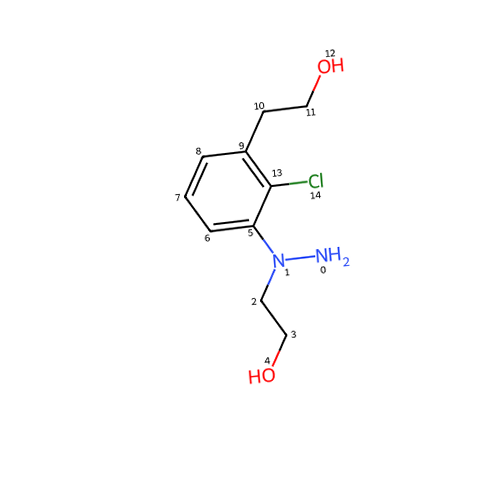 NN(CCO)c1cccc(CCO)c1Cl